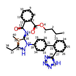 CCCCOC(=O)c1ccccc1C(=O)N=C1N(c2ccc(-c3ccccc3-c3nnn[nH]3)cc2)NC(CC)=S1C